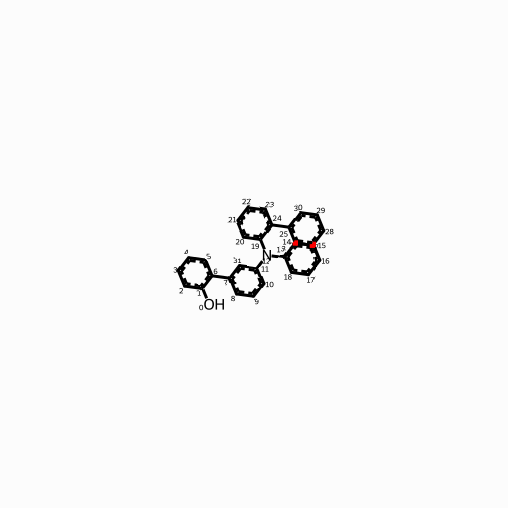 Oc1ccccc1-c1cccc(N(c2ccccc2)c2ccccc2-c2ccccc2)c1